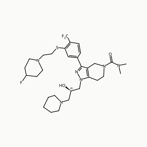 CN(C)C(=O)N1CCc2c(c(-c3ccc(C(F)(F)F)c(SCCN4CCC(F)CC4)c3)nn2C[C@H](O)CN2CCCCC2)C1